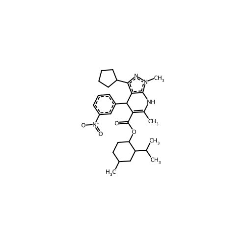 CC1=C(C(=O)OC2CCC(C)CC2C(C)C)C(c2cccc([N+](=O)[O-])c2)c2c(C3CCCC3)nn(C)c2N1